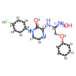 O=c1c(N/C(COc2ccccc2)=N/O)nccn1-c1ccc(F)cc1